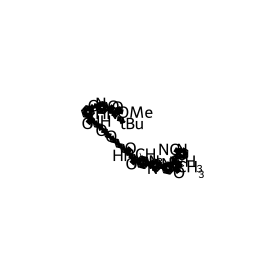 COC(=O)[C@H](CCC(C)(C)C)NC(=O)c1ccc(Oc2cccc(C(=O)NCCOCCOCCCCCC(=O)NCC(=O)N3CCN(c4ncc(-c5ccc6c(n5)N(Cc5cccnc5C#N)C(C)(C)C6=O)cn4)C[C@H]3C)c2)nc1